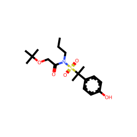 CCCN(C(=O)COC(C)(C)C)S(=O)(=O)C(C)(C)c1ccc(O)cc1